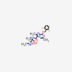 Cc1cn2c(C(=O)NC(C)(CO)c3nnc(C)s3)c(C)nc2c(OCc2c(F)cccc2F)n1